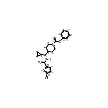 O=C(N[C@H](C1CC1)C1CCN(C(=O)Oc2ccccc2)CC1)c1ccc(Cl)s1